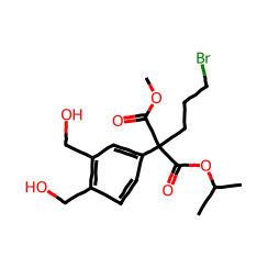 COC(=O)C(CCCBr)(C(=O)OC(C)C)c1ccc(CO)c(CO)c1